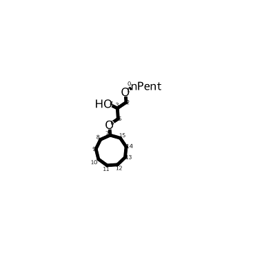 CCCCCOCC(O)COC1CCCCCCCC1